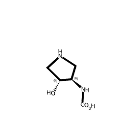 O=C(O)N[C@@H]1CNC[C@H]1O